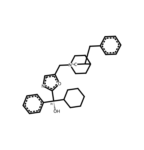 O[C@](c1ccccc1)(c1ncc(C[N+]23CCC(CC2)C(Cc2ccccc2)C3)o1)C1CCCCC1